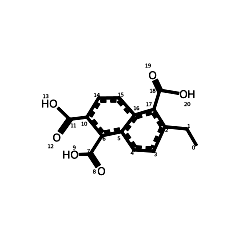 CCc1ccc2c(C(=O)O)c(C(=O)O)ccc2c1C(=O)O